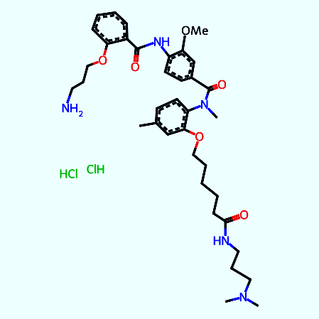 COc1cc(C(=O)N(C)c2ccc(C)cc2OCCCCCC(=O)NCCCN(C)C)ccc1NC(=O)c1ccccc1OCCCN.Cl.Cl